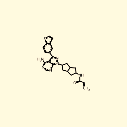 C=CC(=O)NC1CC2CC(n3nc(-c4ccc5sccc5c4)c4c(N)ncnc43)CC2C1